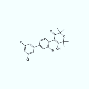 CCc1cc(-c2cc(F)cc(Cl)c2)ccc1C1=C(O)C(C)(C)OC(C)(C)C1=O